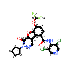 O=C(Nc1c(Cl)cncc1Cl)c1ccc(OC(F)F)c2oc3c(=O)n(C4CCCC4)ncc3c12